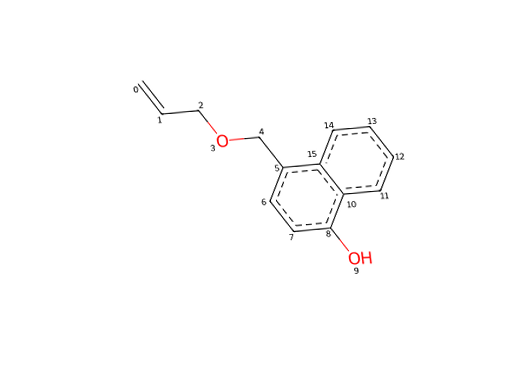 C=CCOCc1ccc(O)c2ccccc12